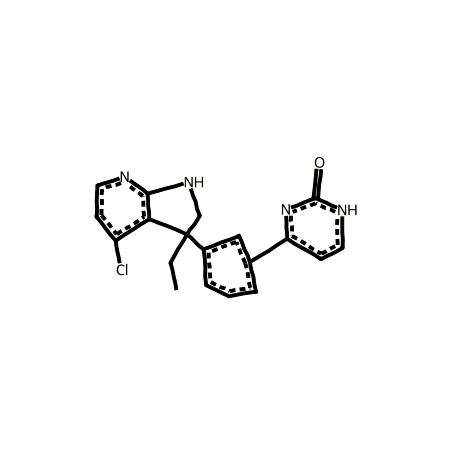 CCC1(c2cccc(-c3cc[nH]c(=O)n3)c2)CNc2nccc(Cl)c21